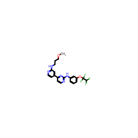 COCCCNc1cc(-c2ccnc(Nc3cccc(OC(F)(F)C(F)F)c3)n2)ccn1